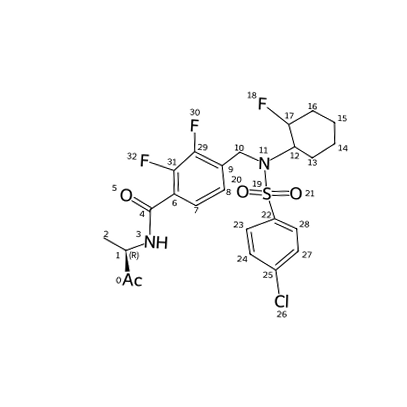 CC(=O)[C@@H](C)NC(=O)c1ccc(CN(C2CCCCC2F)S(=O)(=O)c2ccc(Cl)cc2)c(F)c1F